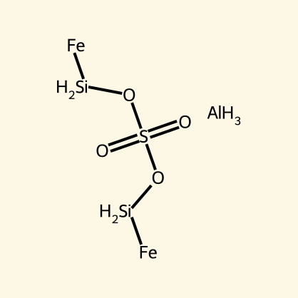 O=S(=O)(O[SiH2][Fe])O[SiH2][Fe].[AlH3]